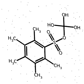 Cc1c(C)c(C)c(S(=O)(=O)OC(O)(O)O)c(C)c1C